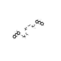 CCC(C)(OC(C)COCC(C)(C)COCC(C)OC(C)(C)C(=O)COc1ccc(Cl)c2c(=O)c3ccccc3sc12)C(=O)COc1ccc(Cl)c2c(=O)c3ccccc3sc12